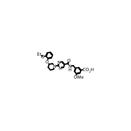 CCOc1ccccc1OC1CCCN(c2ncc(C(=O)NCc3cc(OC)cc(C(=O)O)c3)cn2)C1